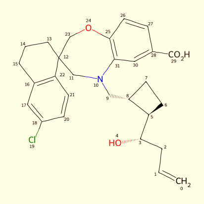 C=CC[C@H](O)[C@@H]1CC[C@H]1CN1CC2(CCCc3cc(Cl)ccc32)COc2ccc(C(=O)O)cc21